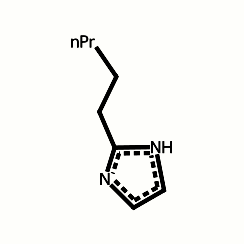 [CH2]CCCCc1ncc[nH]1